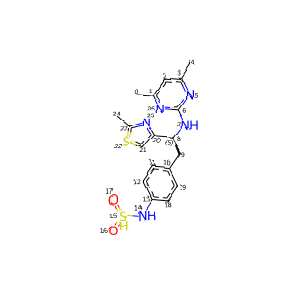 Cc1cc(C)nc(N[C@@H](Cc2ccc(N[SH](=O)=O)cc2)c2csc(C)n2)n1